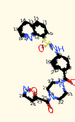 O=C(c1ccc(N[S+]([O-])c2cccc3cccnc23)cc1)N1CCN(C(=O)c2ccno2)CC1